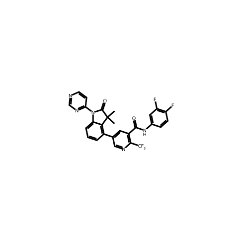 CC1(C)C(=O)N(c2ccncn2)c2cccc(-c3cnc(C(F)(F)F)c(C(=O)Nc4ccc(F)c(F)c4)c3)c21